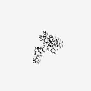 COC(=O)c1ccc2[nH]c(C[C@H](OC3CCCC3)[C@H](O[Si](C)(C)C(C)(C)C)c3cc(OC)c(C)c(OC)c3)nc2c1